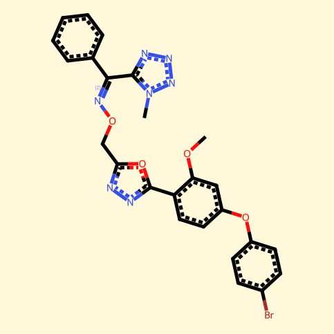 COc1cc(Oc2ccc(Br)cc2)ccc1-c1nnc(CO/N=C(/c2ccccc2)c2nnnn2C)o1